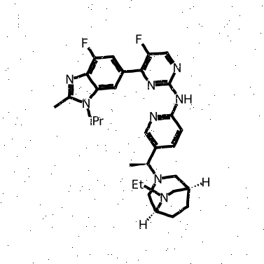 CCN1C[C@@H]2CC[C@H]1CN([C@@H](C)c1ccc(Nc3ncc(F)c(-c4cc(F)c5nc(C)n(C(C)C)c5c4)n3)nc1)C2